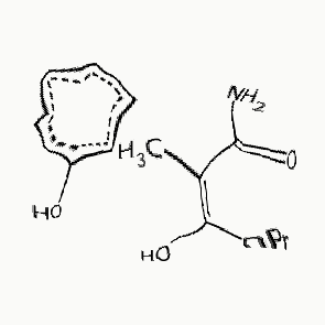 CCCC(O)=C(C)C(N)=O.Oc1ccccc1